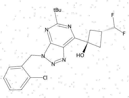 CC(C)(C)c1nc2c(nnn2Cc2ccccc2Cl)c([C@]2(O)C[C@H](C(F)F)C2)n1